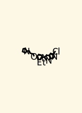 CCC1=Nc2cnc(Cl)cc2CN1c1ccc(OCCCN2CCCC2)cc1